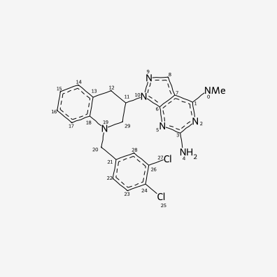 CNc1nc(N)nc2c1cnn2C1Cc2ccccc2N(Cc2ccc(Cl)c(Cl)c2)C1